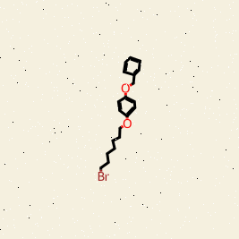 BrCCCCCCCOc1ccc(OCc2ccccc2)cc1